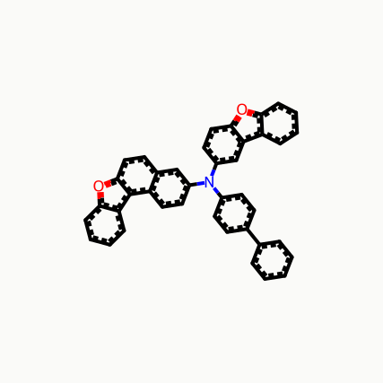 c1ccc(-c2ccc(N(c3ccc4c(ccc5oc6ccccc6c54)c3)c3ccc4oc5ccccc5c4c3)cc2)cc1